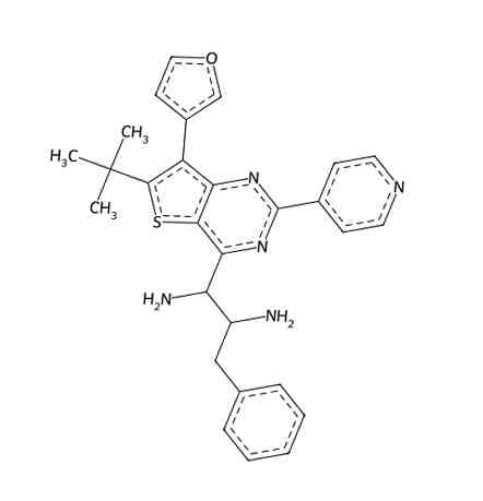 CC(C)(C)c1sc2c(C(N)C(N)Cc3ccccc3)nc(-c3ccncc3)nc2c1-c1ccoc1